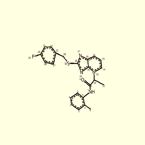 Cc1ccccc1NC(=O)C(C)n1cccc2nc(SCc3ccc(F)cc3)nc1-2